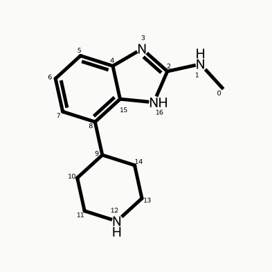 CNc1nc2cccc(C3CCNCC3)c2[nH]1